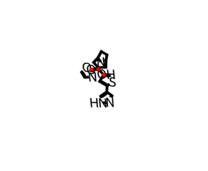 O=C(c1csc(-c2cn[nH]c2)c1)N1C2CCC1CC(O)(c1ncco1)C2